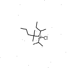 CCCC(C)(C)[Si](Cl)(C(C)C)C(C)CC